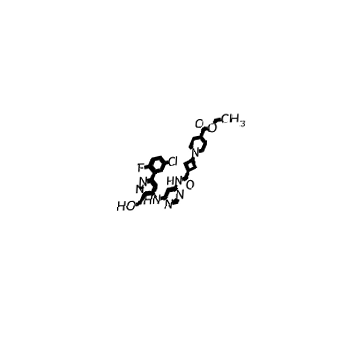 CCOC(=O)C1CCN(C2CC(C(=O)Nc3cc(Nc4cc(-c5cc(Cl)ccc5F)nnc4CO)ncn3)C2)CC1